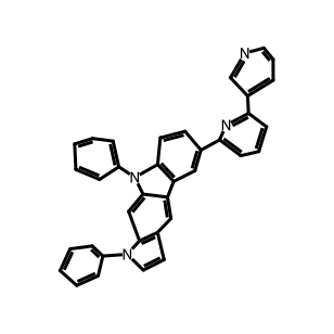 c1ccc(-n2ccc3cc4c5cc(-c6cccc(-c7cccnc7)n6)ccc5n(-c5ccccc5)c4cc32)cc1